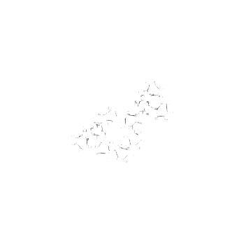 c1ccc(-c2nc(-c3cccc(-c4cccc(-c5cccc(-c6cccc(-c7nc(-c8ccccc8)c8c(n7)oc7ccccc78)c6)c5)c4)c3)c3c(n2)sc2ccccc23)cc1